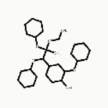 CCOC([SiH3])(OC1CCCCC1)C(OC1CCCCC1)C1CCC(O)C(OC2CCCCC2)C1